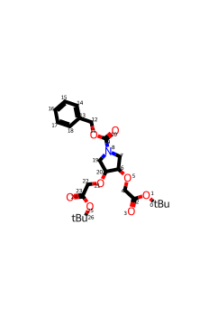 CC(C)(C)OC(=O)COC1CN(C(=O)OCc2ccccc2)CC1OCC(=O)OC(C)(C)C